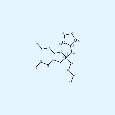 CCCCC[PH](CCCC)(CCCCC)CC1OCCO1